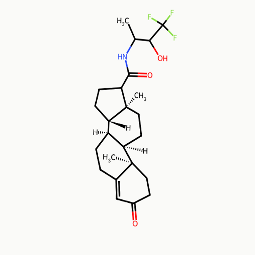 CC(NC(=O)C1CC[C@H]2[C@@H]3CCC4=CC(=O)CC[C@]4(C)[C@@H]3CC[C@]12C)C(O)C(F)(F)F